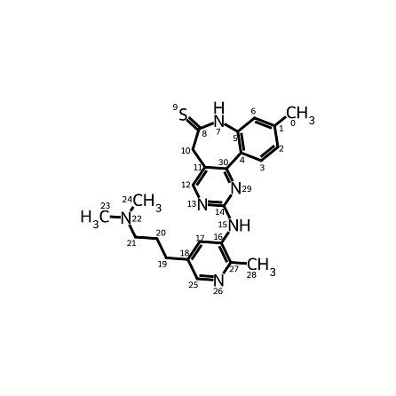 Cc1ccc2c(c1)NC(=S)Cc1cnc(Nc3cc(CCCN(C)C)cnc3C)nc1-2